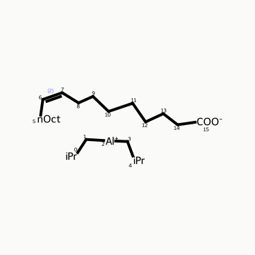 CC(C)[CH2][Al+][CH2]C(C)C.CCCCCCCC/C=C\CCCCCCCC(=O)[O-]